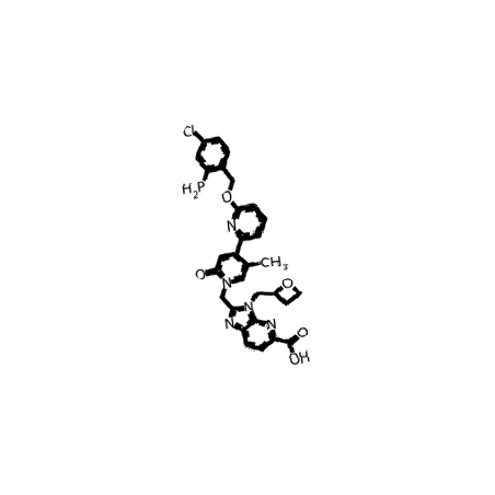 Cc1cn(Cc2nc3ccc(C(=O)O)nc3n2CC2CCO2)c(=O)cc1-c1cccc(OCc2ccc(Cl)cc2P)n1